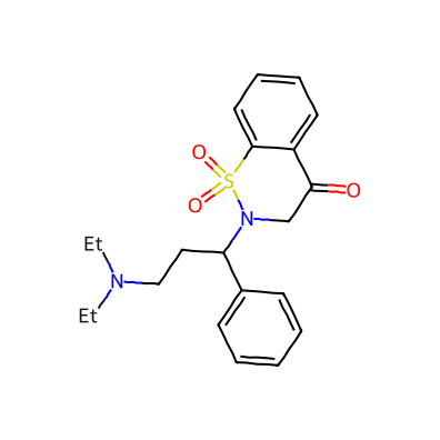 CCN(CC)CCC(c1ccccc1)N1CC(=O)c2ccccc2S1(=O)=O